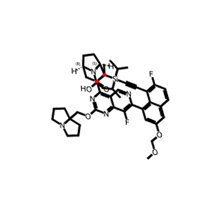 COCOc1cc(-c2ncc3c(N4C[C@H]5CC[C@@H](C4)N5C(=O)O)nc(OCC45CCCN4CCC5)nc3c2F)c2c(C#C[Si](C(C)C)(C(C)C)C(C)C)c(F)ccc2c1